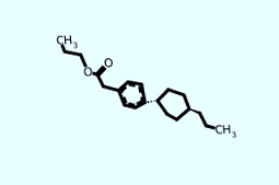 CCCOC(=O)Cc1ccc([C@H]2CC[C@H](CCC)CC2)cc1